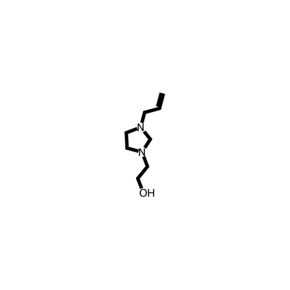 C=CCN1CCN(CCO)C1